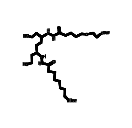 CCCCCCCCCCCCCCCCCC(=O)NNC(CCO)CCC(CCO)NNC(=O)CCCCCCCCCCCCCCCCC